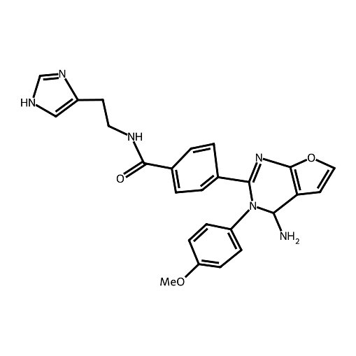 COc1ccc(N2C(c3ccc(C(=O)NCCc4c[nH]cn4)cc3)=Nc3occc3C2N)cc1